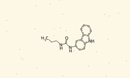 CCCNC(=O)Nc1ccc2[nH]c3ccccc3c2c1